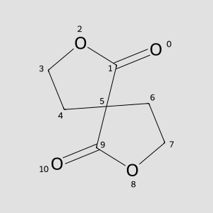 O=C1OCCC12CCOC2=O